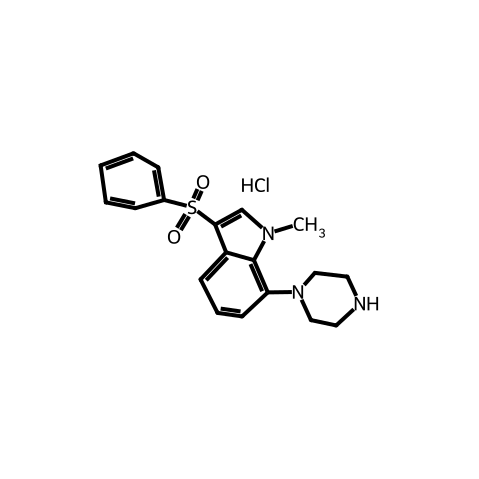 Cl.Cn1cc(S(=O)(=O)c2ccccc2)c2cccc(N3CCNCC3)c21